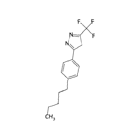 CCCCCc1ccc(C2=NN=C(C(F)(F)F)C2)cc1